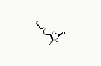 Cc1oc(=O)oc1COP=O